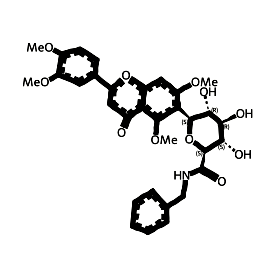 COc1ccc(-c2cc(=O)c3c(OC)c([C@@H]4O[C@H](C(=O)NCc5ccccc5)[C@@H](O)[C@H](O)[C@H]4O)c(OC)cc3o2)cc1OC